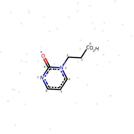 O=C(O)CCn1cccnc1=O